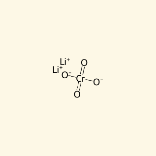 [Li+].[Li+].[O]=[Cr](=[O])([O-])[O-]